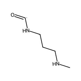 CNCCCN[C]=O